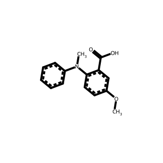 COc1ccc(N(C)c2ccccc2)c(C(=O)O)c1